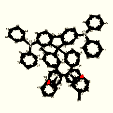 Cc1cccc(N(c2ccccc2)c2cccc(C3(c4cc(N(c5ccccc5)c5ccccc5)ccc4C)c4cc(N(c5ccccc5)c5ccccc5)ccc4-c4ccc(N(c5ccccc5)c5ccccc5)cc43)c2)c1